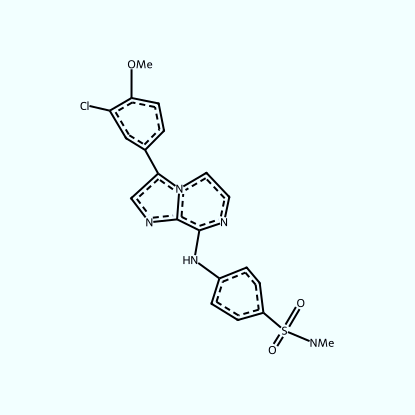 CNS(=O)(=O)c1ccc(Nc2nccn3c(-c4ccc(OC)c(Cl)c4)cnc23)cc1